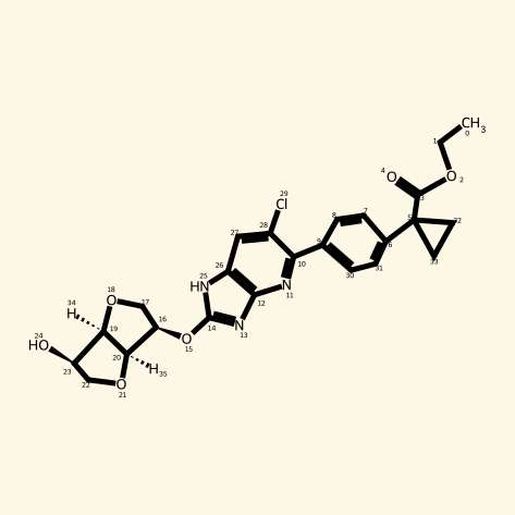 CCOC(=O)C1(c2ccc(-c3nc4nc(O[C@@H]5CO[C@H]6[C@@H]5OC[C@H]6O)[nH]c4cc3Cl)cc2)CC1